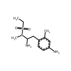 CCS(=O)(=O)N(C)C(N)Cc1ccc(N)cc1C